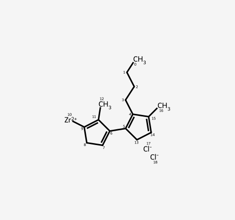 CCCCC1=C(C2=CC[C]([Zr+2])=C2C)CC=C1C.[Cl-].[Cl-]